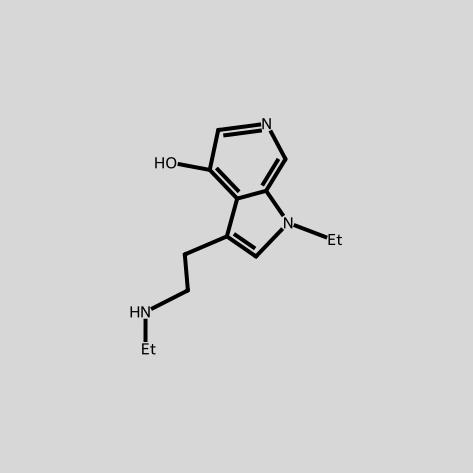 CCNCCc1cn(CC)c2cncc(O)c12